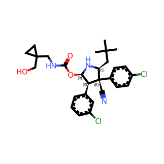 CC(C)(C)C[C@@H]1N[C@H](OC(=O)NCC2(CO)CC2)[C@H](c2cccc(Cl)c2)[C@@]1(C#N)c1ccc(Cl)cc1